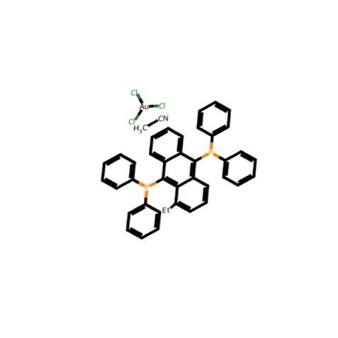 CC#N.CCc1cccc2c(P(c3ccccc3)c3ccccc3)c3ccccc3c(P(c3ccccc3)c3ccccc3)c12.[Cl][Au]([Cl])[Cl]